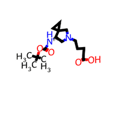 CC(C)(C)OC(=O)N[C@H]1CN(CCCC(=O)O)CC12CC2